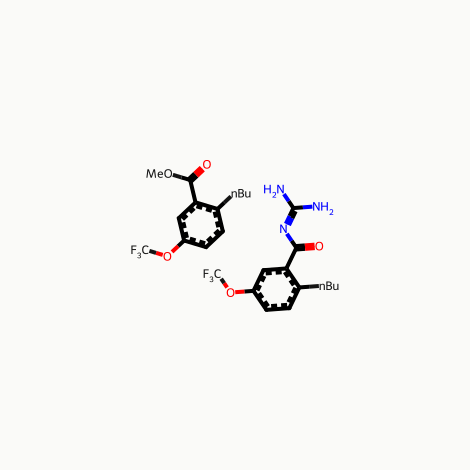 CCCCc1ccc(OC(F)(F)F)cc1C(=O)N=C(N)N.CCCCc1ccc(OC(F)(F)F)cc1C(=O)OC